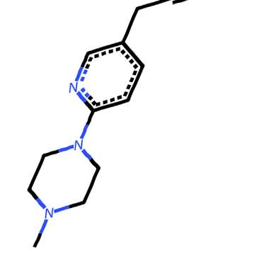 CN1CCN(c2ccc(CC#N)cn2)CC1